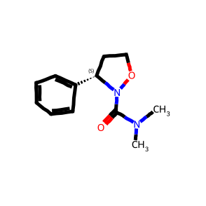 CN(C)C(=O)N1OCC[C@H]1c1ccccc1